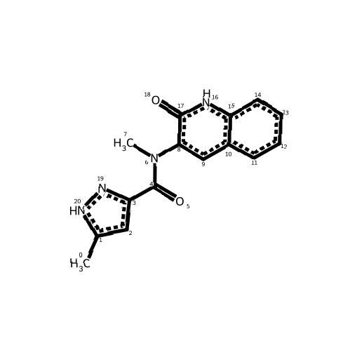 Cc1cc(C(=O)N(C)c2cc3ccccc3[nH]c2=O)n[nH]1